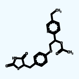 CCc1ccc(C(COc2ccc(CC3SC(=O)NC3=O)cc2)OC(C)=O)nc1